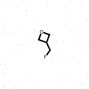 FCC1COC1